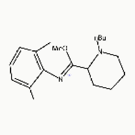 CCCCN1CCCCC1/C(=N/c1c(C)cccc1C)OC